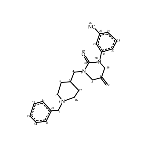 C=C1CN(CC2CCN(Cc3ccccc3)CC2)C(=O)N(c2cccc(C#N)c2)C1